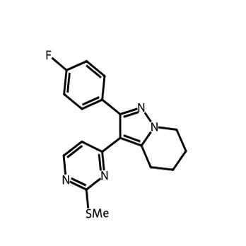 CSc1nccc(-c2c(-c3ccc(F)cc3)nn3c2CCCC3)n1